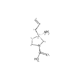 C=CC[C@]1(N)CCN(C(=O)O)C1